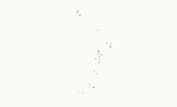 CC(c1c(F)cc2ncccc2c1F)c1cnc2ccc(N3CCN(C=O)CC3)nn12